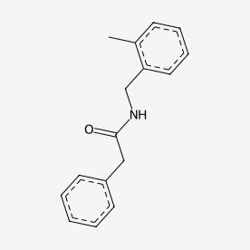 Cc1ccccc1CNC(=O)Cc1ccccc1